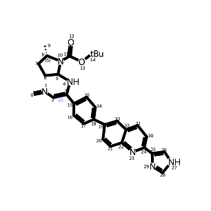 C=N/C=C(\NC1CC[C@H](C)N1C(=O)OC(C)(C)C)c1ccc(-c2ccc3nc(-c4c[nH]cn4)ccc3c2)cc1